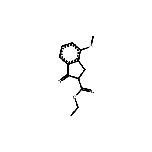 CCOC(=O)C1Cc2c(OC)cccc2C1=O